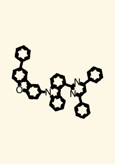 c1ccc(-c2ccc3oc4ccc(-n5c6ccccc6c6c(-c7nc(-c8ccccc8)cc(-c8ccccc8)n7)cccc65)cc4c3c2)cc1